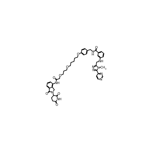 Cn1c(CNc2cccc(C(=O)NCc3ccc(OCCCCCOCCCOCC(=O)Nc4cccc5c4CN(C4CCC(=O)NC4=O)C5=O)cc3)c2)nnc1-c1ccncn1